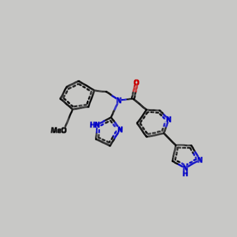 COc1cccc(CN(C(=O)c2ccc(-c3cn[nH]c3)nc2)c2ncc[nH]2)c1